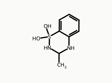 CC1Nc2ccccc2S(O)(O)N1